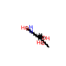 CCCCC[C@@H](O)/C=C/[C@@H]1[C@H]2CC(CCCCCNCCCO)=C[C@H]2C[C@H]1O